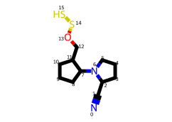 N#CC1CCCN1C1CCCC1COSS